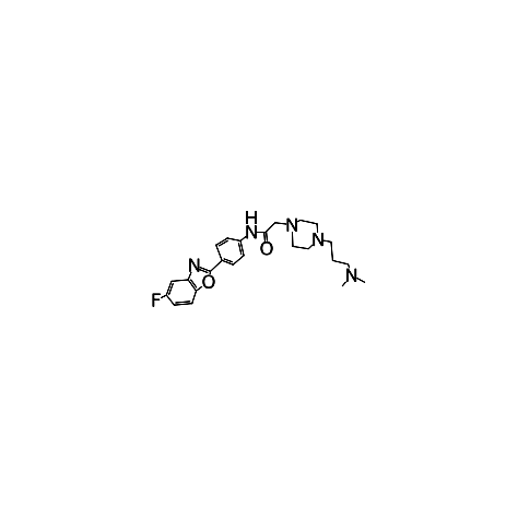 CN(C)CCCN1CCN(CC(=O)Nc2ccc(-c3nc4cc(F)ccc4o3)cc2)CC1